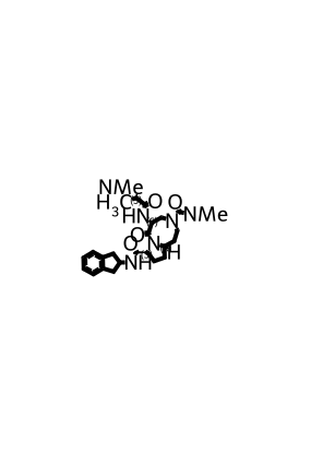 CNC(=O)N1CC[C@H]2CC[C@@H](C(=O)NC3Cc4ccccc4C3)N2C(=O)[C@@H](NC(=O)[C@H](C)NC)C1